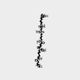 CCOC(C)(C)CCC(=O)NCCCCCN(O)C(=O)CCC(=O)NCCCCCN(O)C(=O)CCC(=O)NCCCCCN(O)C(C)=O